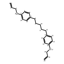 C=CCOc1ccc(CCCCCc2ccc(OCC=C)cc2)cc1